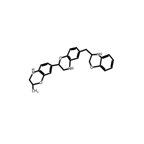 CC1CNc2ccc(C3CNc4cc(CC5COc6ccccc6N5)ccc4O3)cc2O1